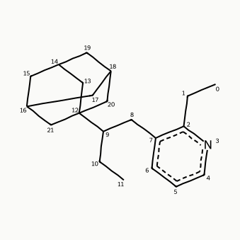 CCc1ncccc1CC(CC)C12CC3CC(CC(C3)C1)C2